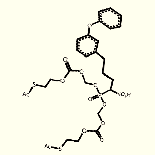 CC(=O)SCCOC(=O)OCOP(=O)(OCOC(=O)OCCSC(C)=O)C(CCCc1cccc(Oc2ccccc2)c1)S(=O)(=O)O